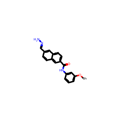 CC(C)Oc1cccc(NC(=O)c2ccc3cc(C=NN)ccc3c2)c1